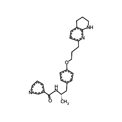 C[C@@H](Cc1ccc(OCCCc2ccc3c(n2)NCCC3)cc1)NC(=O)c1cccnc1